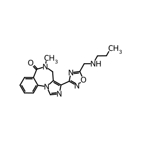 CCCNCc1nc(-c2ncn3c2CN(C)C(=O)c2ccccc2-3)no1